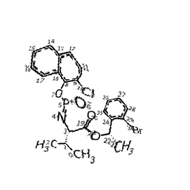 CC(C)[C@H](/N=[P+](\[O-])Oc1c(Cl)ccc2ccccc12)C(=O)O[C@@H](C)c1ccccc1Br